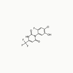 O=c1cc(C(F)(F)F)[nH]c(=O)n1-c1cc(O)c(Cl)cc1F